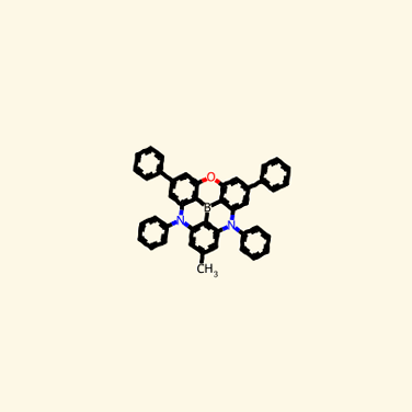 Cc1cc2c3c(c1)N(c1ccccc1)c1cc(-c4ccccc4)cc4c1B3c1c(cc(-c3ccccc3)cc1N2c1ccccc1)O4